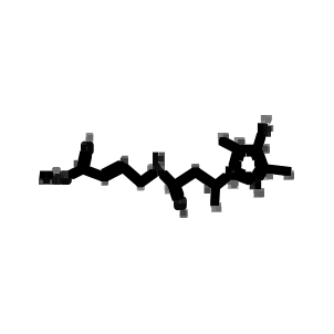 COC(=O)/C=C/CNC(=O)CC(C)n1nc(C)c(Br)c1C